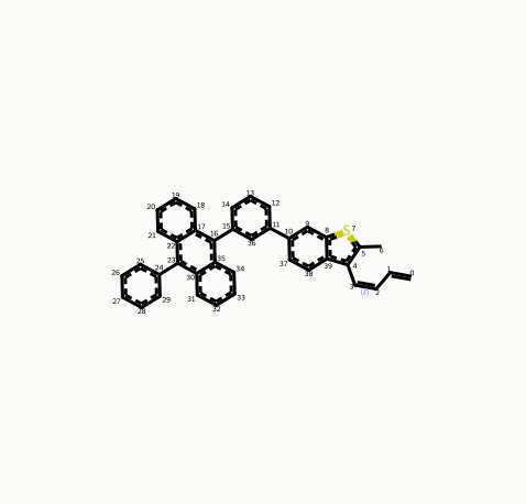 C=C/C=C\c1c(C)sc2cc(-c3cccc(-c4c5ccccc5c(-c5ccccc5)c5ccccc45)c3)ccc12